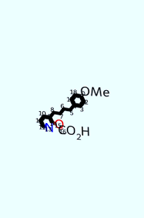 COc1ccc(CCCCc2cccnc2OC(=O)O)cc1